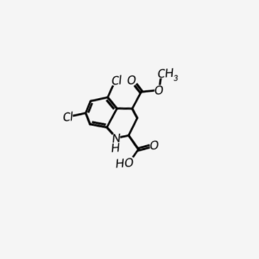 COC(=O)C1CC(C(=O)O)Nc2cc(Cl)cc(Cl)c21